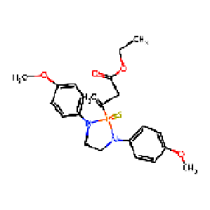 C=C(CC(=O)OCC)P1(=S)N(c2ccc(OC)cc2)CCN1c1ccc(OC)cc1